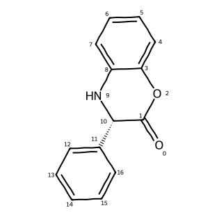 O=C1Oc2ccccc2N[C@H]1c1ccccc1